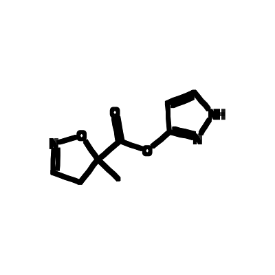 CC1(C(=O)Oc2cc[nH]n2)CC=NO1